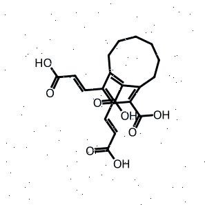 O=C(O)C=Cc1c(C=CC(=O)O)c(C(=O)O)c2c(C(=O)O)c1CCCCCC2